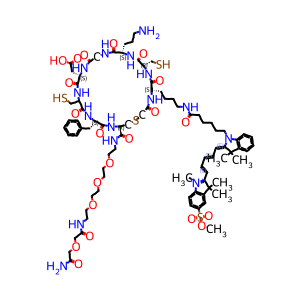 COS(=O)(=O)c1ccc2c(c1)C(C)(C)C(/C=C/C=C/C=C1/N(CCCCCC(=O)NCCCC[C@@H]3NC(=O)CSC[C@@H](C(=O)NCCOCCOCCOCCNC(=O)COCC(N)=O)NC(=O)[C@H](Cc4ccccc4)NC(=O)C(CS)NC(=O)[C@H](CC(=O)O)NC(=O)CNC(=O)[C@H](CCCN)NC(=O)[C@H](CS)NC3=O)c3ccccc3C1(C)C)=[N+]2C